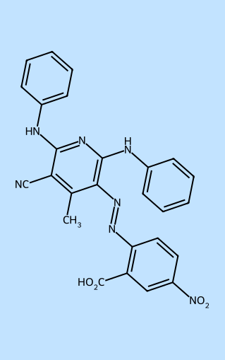 Cc1c(C#N)c(Nc2ccccc2)nc(Nc2ccccc2)c1N=Nc1ccc([N+](=O)[O-])cc1C(=O)O